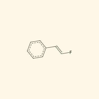 FC=[C]c1ccccc1